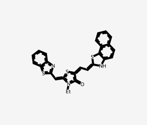 CCn1c(=O)c(=CC=C2Nc3ccc4ccccc4c3S2)s/c1=C\c1nc2ccccc2s1